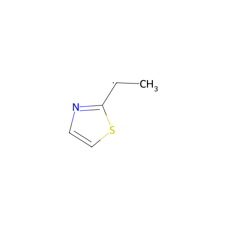 C[CH]c1nccs1